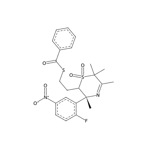 CC1=N[C@](C)(c2cc([N+](=O)[O-])ccc2F)C(CCSC(=O)c2ccccc2)S(=O)(=O)C1(C)C